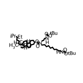 CC[C@H](CC[C@@H](C)[C@H]1CC[C@H]2[C@@H]3CC=C4C[C@@H](OC(=O)N(CCCCCCCCCCNC(=O)OC(C)(C)C)CCCNC(=O)OC(C)(C)C)CC[C@]4(C)[C@H]3CC[C@]12C)C(C)C